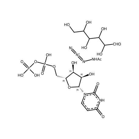 CC(=O)NN=[N+]=[N-].O=CC(O)C(O)C(O)C(O)CO.O=c1ccn([C@@H]2O[C@H](COP(=O)(O)OP(=O)(O)O)[C@@H](O)[C@H]2O)c(=O)[nH]1